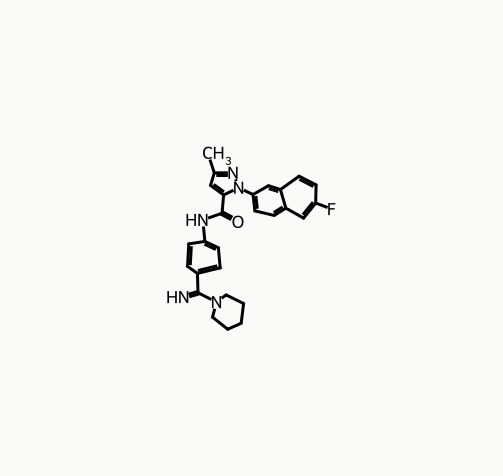 Cc1cc(C(=O)Nc2ccc(C(=N)N3CCCCC3)cc2)n(-c2ccc3cc(F)ccc3c2)n1